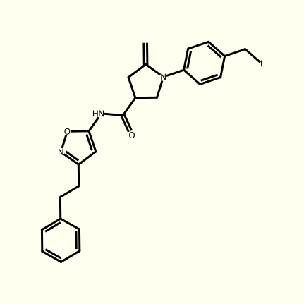 C=C1CC(C(=O)Nc2cc(CCc3ccccc3)no2)CN1c1ccc(CI)cc1